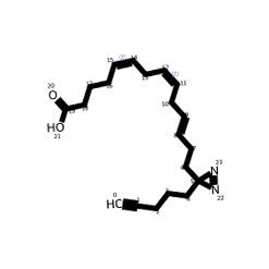 C#CCCCC1(CCC=CC/C=C\C/C=C\CCCC(=O)O)N=N1